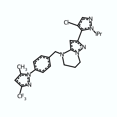 Cc1cc(C(F)(F)F)nn1-c1ccc(CN2CCCn3nc(-c4c(Cl)cnn4C(C)C)cc32)cc1